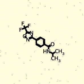 CC(C)NC(=O)c1ccc(-c2noc(C(F)(F)F)n2)cc1